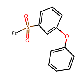 CCS(=O)(=O)c1cc[c]c(Oc2ccccc2)c1